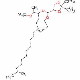 CCCOC(OC(CCCCCCCCCCCCC(C)C)C(C)OC)C1COC(C)(C)O1